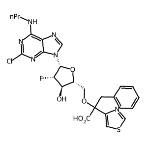 CCCNc1nc(Cl)nc2c1ncn2[C@@H]1O[C@H](COC(Cc2ccccc2)(C(=O)O)c2cscn2)[C@@H](O)[C@@H]1F